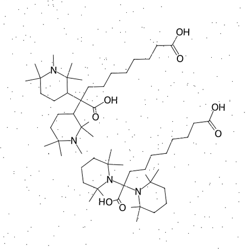 CC1(C)CCCC(C)(C)N1C(CCCCCCCC(=O)O)(C(=O)O)N1C(C)(C)CCCC1(C)C.CN1C(C)(C)CCC(C(CCCCCCCC(=O)O)(C(=O)O)C2CCC(C)(C)N(C)C2(C)C)C1(C)C